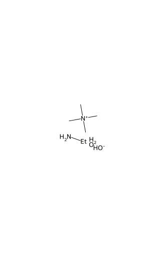 CCN.C[N+](C)(C)C.O.[OH-]